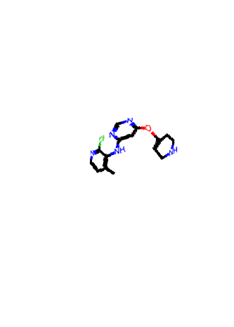 Cc1ccnc(Cl)c1Nc1cc(OC2CCNCC2)ncn1